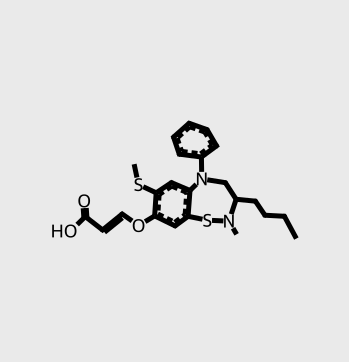 CCCCC1CN(c2ccccc2)c2cc(SC)c(O/C=C/C(=O)O)cc2SN1C